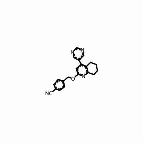 N#Cc1ccc(COc2cc(-c3cncnc3)c3c(n2)CCCC3)cc1